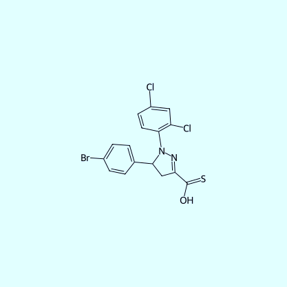 OC(=S)C1=NN(c2ccc(Cl)cc2Cl)C(c2ccc(Br)cc2)C1